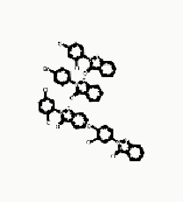 O=c1c2ccccc2sn1-c1cc(Cl)ccc1Cl.O=c1c2ccccc2sn1-c1ccc(Br)cc1.O=c1c2ccccc2sn1-c1ccc(Cl)c(Cl)c1.O=c1c2ccccc2sn1-c1ccc(Cl)cc1Cl